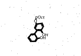 CCCCCCCCOc1ccc(O)c(-c2ccccc2O)c1